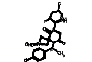 C[C@@H](c1ccc(Cl)cc1)N1C(=O)CN(C2NCC(Cl)CC2F)C(=O)C12CN(C=O)C2